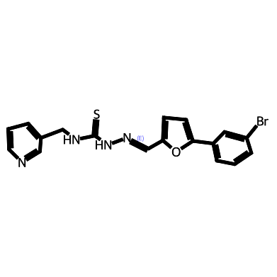 S=C(NCc1cccnc1)N/N=C/c1ccc(-c2cccc(Br)c2)o1